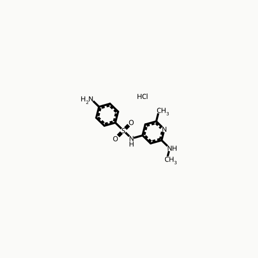 CNc1cc(NS(=O)(=O)c2ccc(N)cc2)cc(C)n1.Cl